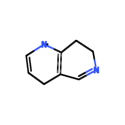 C1=C[N]C2=C(C=NCC2)C1